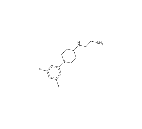 NCCNC1CCN(c2cc(F)cc(F)c2)CC1